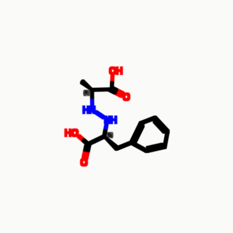 C[C@H](NN[C@@H](Cc1ccccc1)C(=O)O)C(=O)O